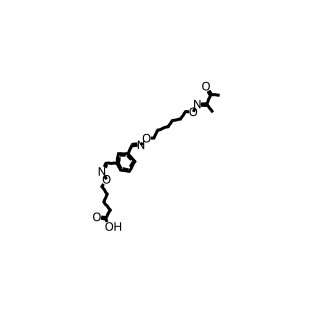 CC(=O)/C(C)=N/OCCCCCCO/N=C/c1cccc(/C=N\OCCCCC(=O)O)c1